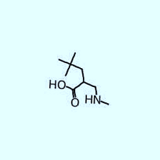 CNCC(CC(C)(C)C)C(=O)O